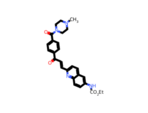 CCOC(=O)Nc1ccc2nc(C=CC(=O)c3ccc(C(=O)N4CCN(C)CC4)cc3)ccc2c1